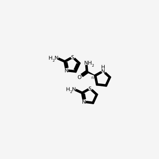 NC(=O)[C@@H]1CCCN1.NC1=NCCS1.Nc1nccs1